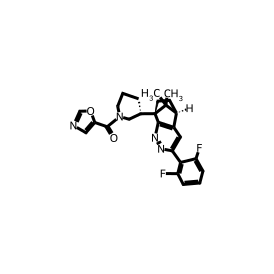 CC1(C)[C@H]2CC[C@]1([C@H]1CCCN(C(=O)c3cnco3)C1)c1nnc(-c3c(F)cccc3F)cc12